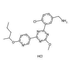 CCCC(C)Oc1ccc(-c2nc(OC)nc(-c3cc(CN)ccc3Cl)n2)cn1.Cl